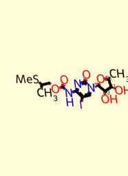 CSC(C)COC(=O)Nc1nc(=O)n([C@@H]2O[C@H](C)[C@@H](O)[C@H]2O)cc1I